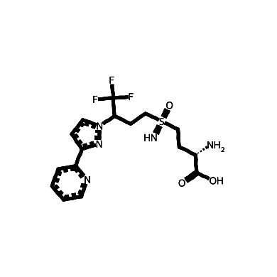 N=S(=O)(CCC(n1ccc(-c2ccccn2)n1)C(F)(F)F)CC[C@H](N)C(=O)O